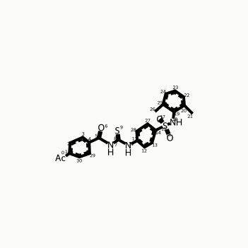 CC(=O)c1ccc(C(=O)NC(=S)Nc2ccc(S(=O)(=O)Nc3c(C)cccc3C)cc2)cc1